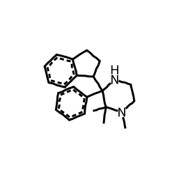 CN1CCNC(c2ccccc2)(C2CCc3ccccc32)C1(C)C